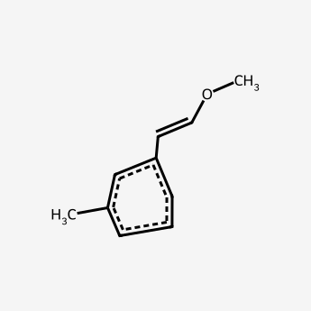 COC=Cc1cccc(C)c1